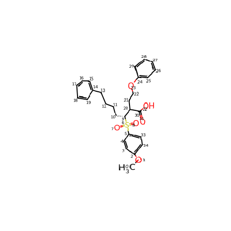 COc1ccc(S(=O)(=O)[C@H](CCCCc2ccccc2)C(CCOc2ccccc2)C(=O)O)cc1